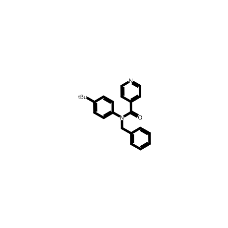 CC(C)(C)c1ccc(N(Cc2ccccc2)C(=O)c2ccncc2)cc1